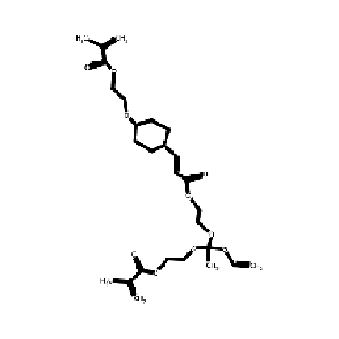 C=COC(C)(OCCOC(=O)C=CC1CCC(OCCOC(=O)C(=C)C)CC1)OCCOC(=O)C(=C)C